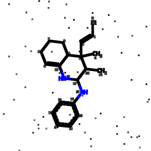 CCC=CC1(C)C2CCCC=C2NC(Nc2ccccc2)C1C